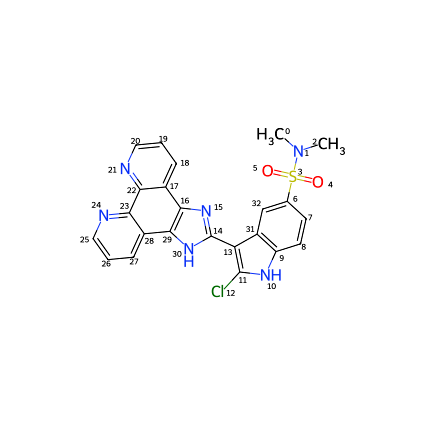 CN(C)S(=O)(=O)c1ccc2[nH]c(Cl)c(-c3nc4c5cccnc5c5ncccc5c4[nH]3)c2c1